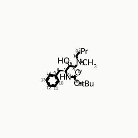 CC(C)CN(C)C[C@@H](O)[C@H](Cc1ccccc1)NC(=O)OC(C)(C)C